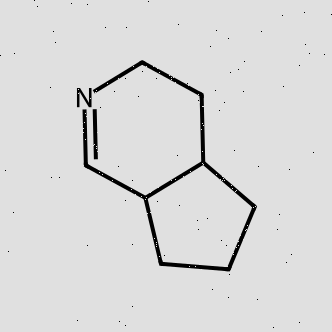 C1=NCCC2CCCC12